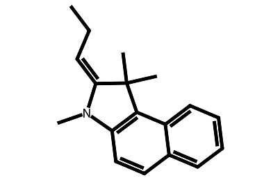 CC/C=C1/N(C)c2ccc3ccccc3c2C1(C)C